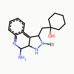 CCN1NC2C(=c3ccccc3=NC2N)C1CC1(O)CCCCC1